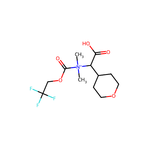 C[N+](C)(C(=O)OCC(F)(F)F)C(C(=O)O)C1CCOCC1